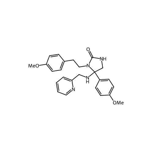 COc1ccc(CCN2C(=O)NCC2(NCc2ccccn2)c2ccc(OC)cc2)cc1